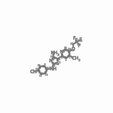 Cc1cc(-c2sc(Nc3ccc(Cl)cc3)nc2N)ncc1OCC(F)(F)F